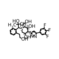 CC(C)(O)C(c1ccccc1CCO)[SH]1C[C@H](O)[C@H](n2cc(-c3cc(F)c(F)c(F)c3)nn2)[C@@H](O)[C@H]1CO